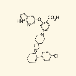 O=C(O)c1ccc(N2CCC3(CC2)CN(C2CCCC=C2c2ccc(Cl)cc2)C3)cc1Oc1cnc2[nH]ccc2c1